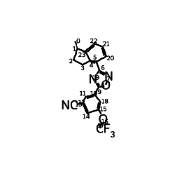 C[C@@H]1CCc2c(-c3noc(-c4cc(C#N)cc(OC(F)(F)F)c4)n3)cccc21